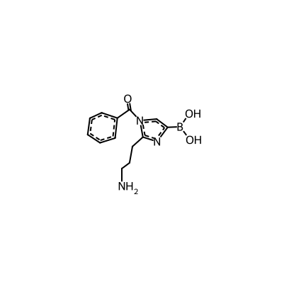 NCCCc1nc(B(O)O)cn1C(=O)c1ccccc1